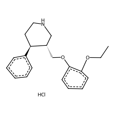 CCOc1ccccc1OC[C@H]1CNCC[C@@H]1c1ccccc1.Cl